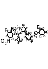 O=C(O)c1cc(F)c2nc(CN3CC[C@@H](c4ccc(F)c(COc5ccc(Cl)cc5F)n4)C3)n(C[C@@H]3CCO3)c2c1